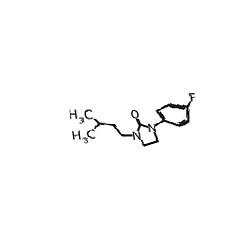 C[C](C)CCN1CCN(c2ccc(F)cc2)C1=O